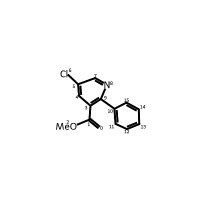 C=C(OC)c1cc(Cl)cnc1-c1ccccc1